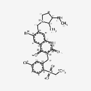 CCS(=O)(=O)c1ccc(Cl)cc1Cn1c(=O)[nH]c2cc(CN3CCC(NC)C3C)c(Br)cc2c1=O